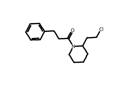 O=C(CCc1ccccc1)N1CCCCC1CCCl